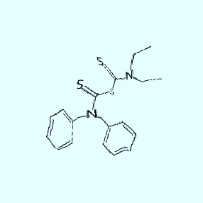 CCN(CC)C(=S)SC(=S)N(c1ccccc1)c1ccccc1